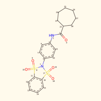 O=C(Nc1ccc(N2S(=O)(=O)c3ccccc3S2(=O)=O)cc1)C1CCCCCC1